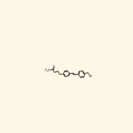 O=C(CCCc1ccc(C=Cc2ccc(CBr)cc2)cc1)C(F)(F)F